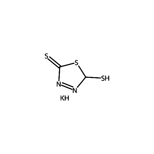 S=C1N=NC(S)S1.[KH]